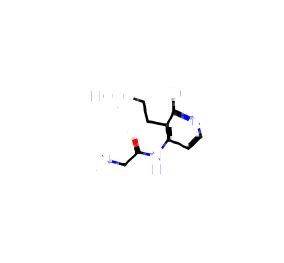 CCc1nccc(NC(=O)CN)c1CCC(=O)O